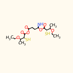 CCOC(C)[C@H](S)C(=O)OC(=N)CCC(=O)OC(=O)[C@@H](S)C(C)OCC